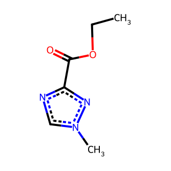 CCOC(=O)c1ncn(C)n1